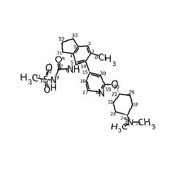 Cc1cc2c(c(NC(=O)NS(C)(=O)=O)c1-c1ccnc(O[C@H]3CC[C@H](N(C)C)CC3)c1)CCC2